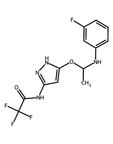 CC(Nc1cccc(F)c1)Oc1cc(NC(=O)C(F)(F)F)n[nH]1